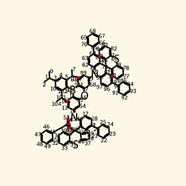 CC(C)c1cc(C(C)C)c(B2c3ccc(N4c5ccc(-c6ccccc6)cc5C5(c6ccccc6Sc6ccccc65)c5cc(-c6ccccc6)ccc54)cc3Oc3cc(N4c5ccc(-c6ccccc6)cc5C5(c6ccccc6Sc6ccccc65)c5cc(-c6ccccc6)ccc54)ccc32)c(C(C)C)c1